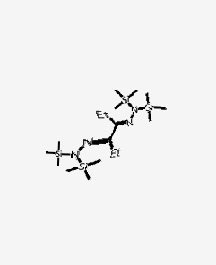 CCC(=NN([Si](C)(C)C)[Si](C)(C)C)C(CC)=NN([Si](C)(C)C)[Si](C)(C)C